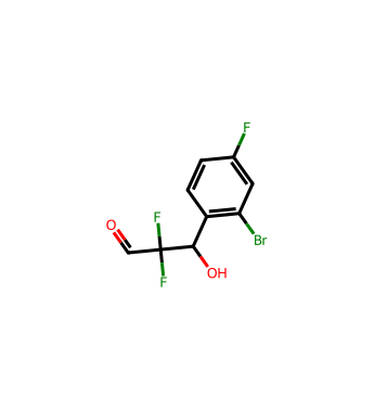 O=CC(F)(F)C(O)c1ccc(F)cc1Br